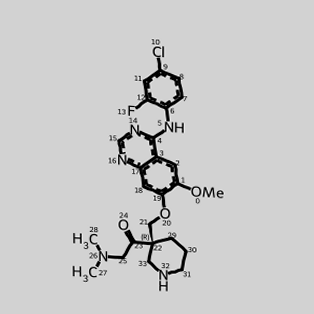 COc1cc2c(Nc3ccc(Cl)cc3F)ncnc2cc1OC[C@@]1(C(=O)CN(C)C)CCCNC1